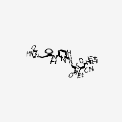 CCNC(=O)C(C#N)=c1sc(=CNc2cccc(NC(=O)CN3CNC(=O)C3)n2)c(=O)n1CC